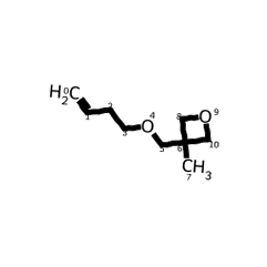 C=CCCOCC1(C)COC1